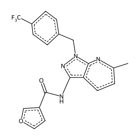 Cc1ccc2c(NC(=O)c3ccoc3)nn(Cc3ccc(C(F)(F)F)cc3)c2n1